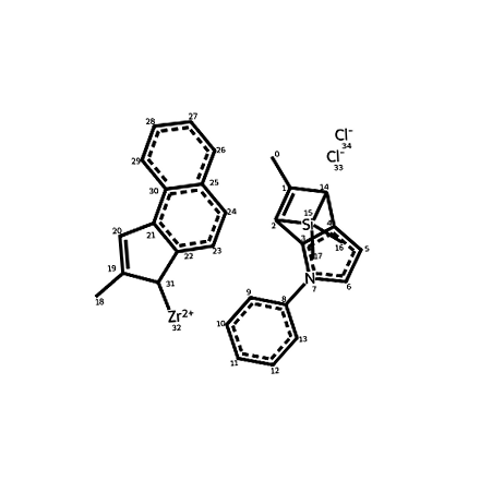 CC1=C2c3c(ccn3-c3ccccc3)C1[Si]2(C)C.CC1=Cc2c(ccc3ccccc23)[CH]1[Zr+2].[Cl-].[Cl-]